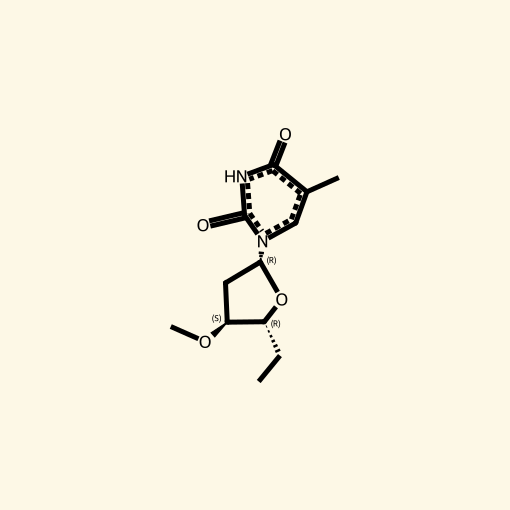 CC[C@H]1O[C@@H](n2cc(C)c(=O)[nH]c2=O)C[C@@H]1OC